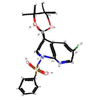 CC1(C)OB(c2cn(S(=O)(=O)c3ccccc3)c3ncc(F)cc23)OC1(C)C